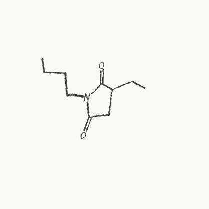 CCCCN1C(=O)CC(CC)C1=O